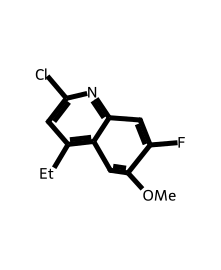 CCc1cc(Cl)nc2cc(F)c(OC)cc12